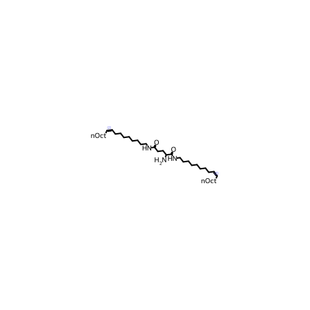 CCCCCCCC/C=C\CCCCCCCCNC(=O)CCC(N)C(=O)NCCCCCCCC/C=C\CCCCCCCC